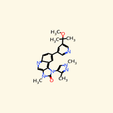 COC(C)(C)c1cncc(-c2ccc3ncc4c(c3c2)n(-c2cn(C)nc2C)c(=O)n4C)c1